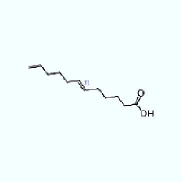 C=CCCC/C=C/CCCCC(=O)O